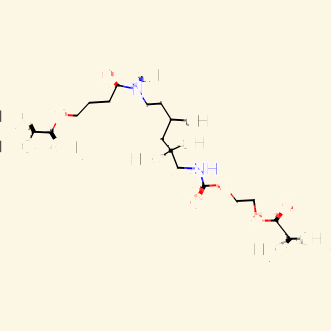 C=C(C)C(=C)OCCCC(=O)N(C)CCC(C)CC(C)(C)CNC(=O)OCCOC(=O)C(=C)C